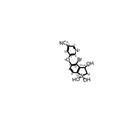 N#Cc1cncc(Oc2ccc3c(c2Br)C(O)CS3(O)O)c1